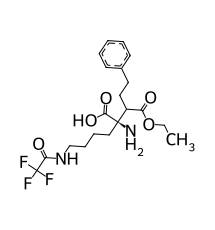 CCOC(=O)C(CCc1ccccc1)[C@](N)(CCCCNC(=O)C(F)(F)F)C(=O)O